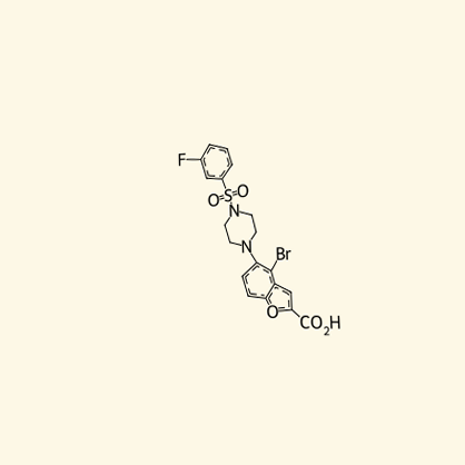 O=C(O)c1cc2c(Br)c(N3CCN(S(=O)(=O)c4cccc(F)c4)CC3)ccc2o1